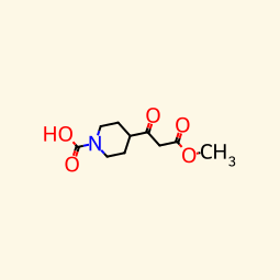 COC(=O)CC(=O)C1CCN(C(=O)O)CC1